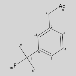 CC(=O)Cc1cccc(C(C)(C)F)c1